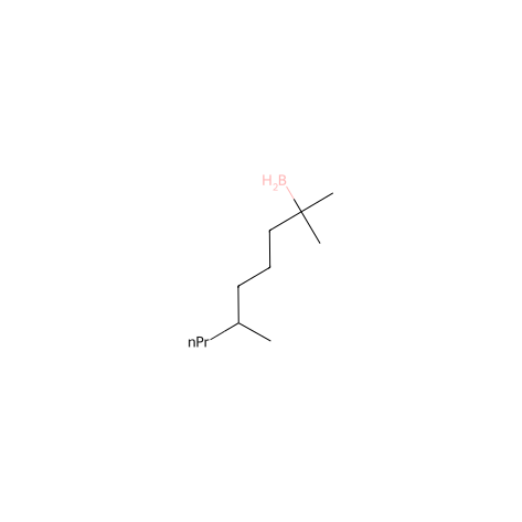 BC(C)(C)CCCC(C)CCC